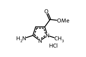 COC(=O)c1cc(N)nn1C.Cl